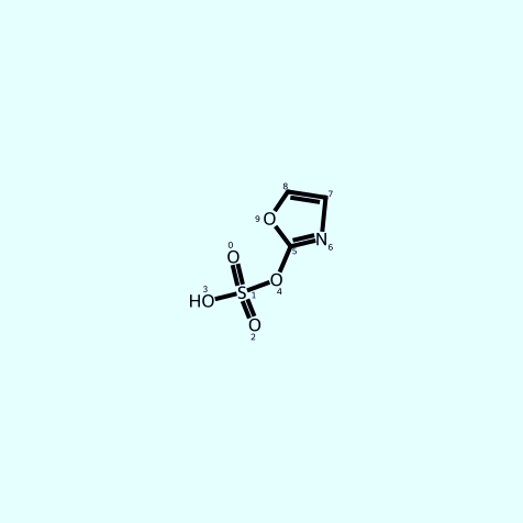 O=S(=O)(O)Oc1ncco1